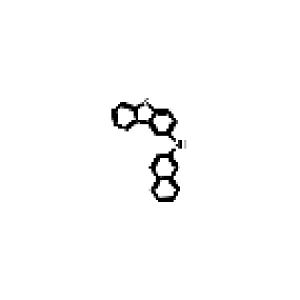 c1ccc2cc(Nc3ccc4sc5ccccc5c4c3)ccc2c1